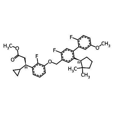 COC(=O)C[C@@H](c1cccc(OCc2cc([C@H]3CCCC3(C)C)c(-c3cc(OC)ccc3F)cc2F)c1F)C1CC1